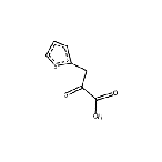 O=C(O)C(=S)Cc1cccs1